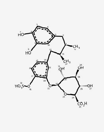 C[C@H](Cc1ccc(O)c(O)c1)[C@@H](C)Cc1ccc(OS(=O)(=O)O)c(O[C@@H]2O[C@H](C(=O)O)[C@@H](O)[C@H](O)[C@H]2O)c1